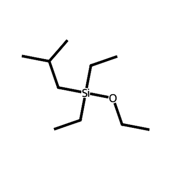 CCO[Si](CC)(CC)CC(C)C